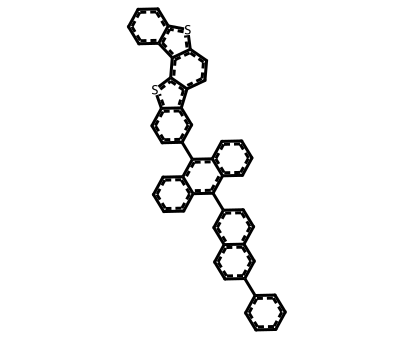 c1ccc(-c2ccc3cc(-c4c5ccccc5c(-c5ccc6sc7c(ccc8sc9ccccc9c87)c6c5)c5ccccc45)ccc3c2)cc1